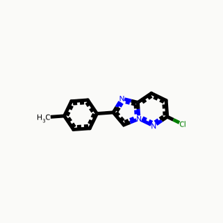 Cc1ccc(-c2cn3nc(Cl)ccc3n2)cc1